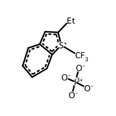 CCc1cc2ccccc2[s+]1C(F)(F)F.[O-][I+3]([O-])([O-])[O-]